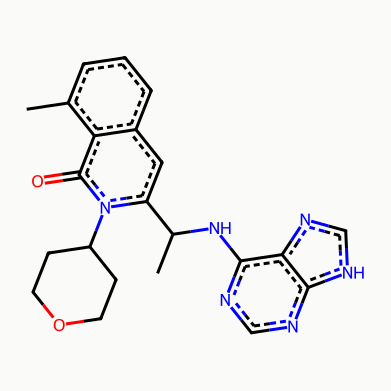 Cc1cccc2cc(C(C)Nc3ncnc4[nH]cnc34)n(C3CCOCC3)c(=O)c12